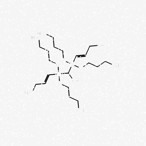 CCC=C[Si](OCCCC)(OCCCC)C(C)[Si](C=CCC)(OCCCC)OCCCC